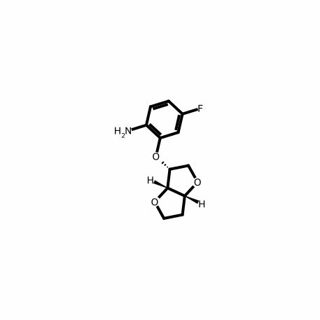 Nc1ccc(F)cc1O[C@@H]1CO[C@@H]2CCO[C@@H]21